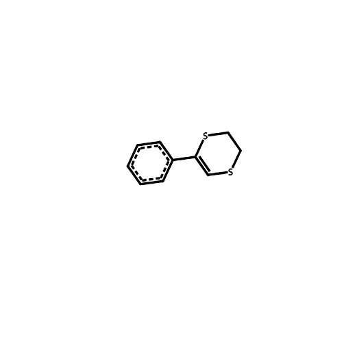 C1=C(c2ccccc2)SCCS1